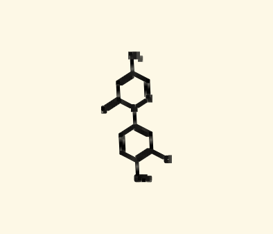 COc1ccc(-n2ncc(N)cc2=S)cc1Cl